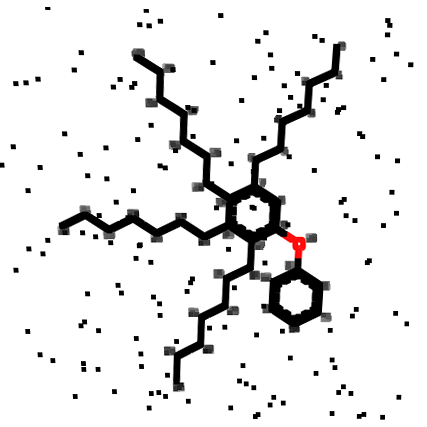 CCCCCCCc1cc(Oc2ccccc2)c(CCCCCCC)c(CCCCCCC)c1CCCCCCC